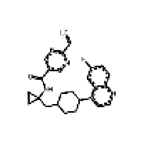 C=Cc1ncc(C(=O)NC2(CC3CCC(c4ccnc5ccc(F)cc45)CC3)CC2)cn1